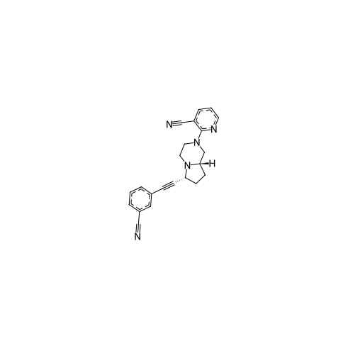 N#Cc1cccc(C#C[C@H]2CC[C@H]3CN(c4ncccc4C#N)CCN32)c1